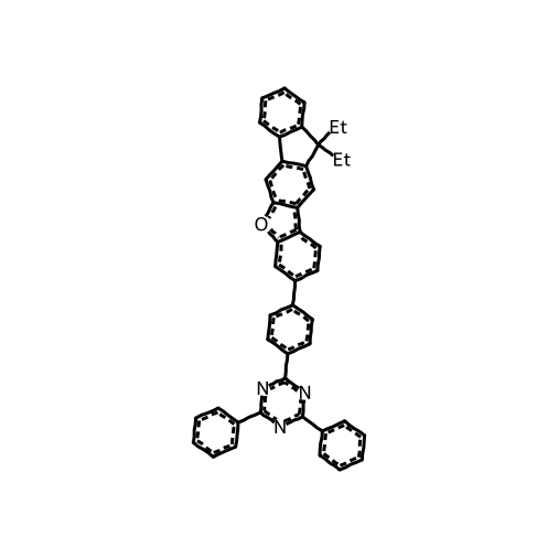 CCC1(CC)c2ccccc2-c2cc3oc4cc(-c5ccc(-c6nc(-c7ccccc7)nc(-c7ccccc7)n6)cc5)ccc4c3cc21